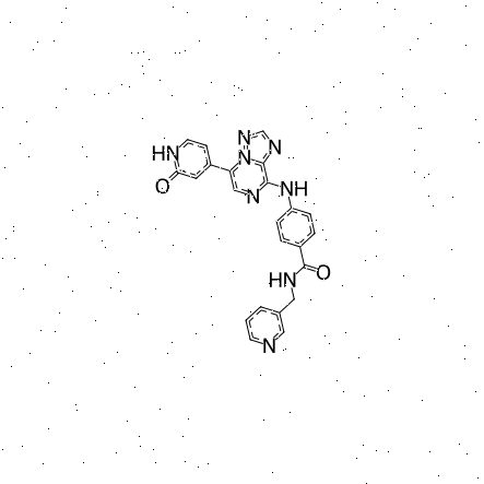 O=C(NCc1cccnc1)c1ccc(Nc2ncc(-c3cc[nH]c(=O)c3)n3ncnc23)cc1